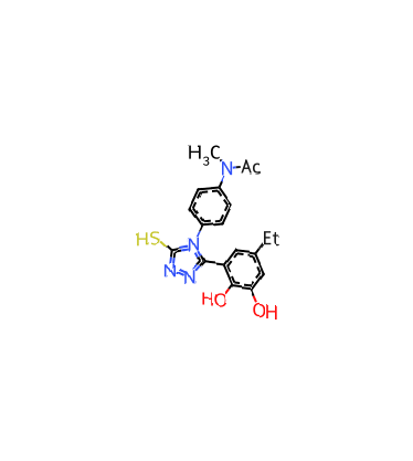 CCc1cc(O)c(O)c(-c2nnc(S)n2-c2ccc(N(C)C(C)=O)cc2)c1